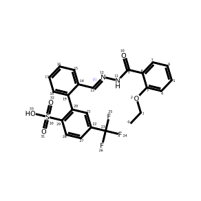 CCOc1ccccc1C(=O)N/N=C/c1ccccc1-c1cc(C(F)(F)F)ccc1S(=O)(=O)O